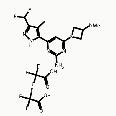 CNC1CN(c2cc(-c3[nH]nc(C(F)F)c3C)nc(N)n2)C1.O=C(O)C(F)(F)F.O=C(O)C(F)(F)F